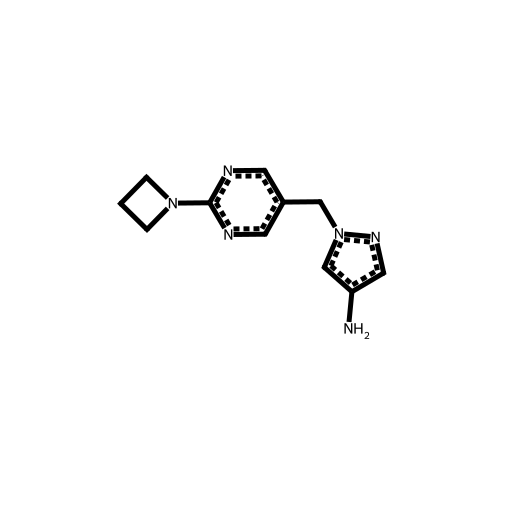 Nc1cnn(Cc2cnc(N3CCC3)nc2)c1